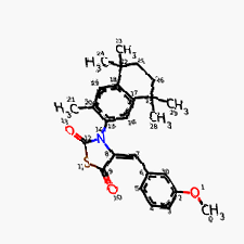 COc1cccc(C=C2C(=O)SC(=O)N2c2cc3c(cc2C)C(C)(C)CCC3(C)C)c1